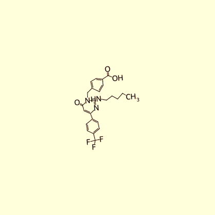 CCCCCNc1nc(-c2ccc(C(F)(F)F)cc2)cc(=O)n1Cc1ccc(C(=O)O)cc1